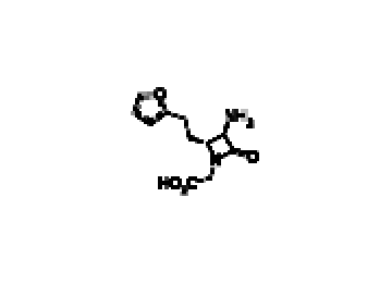 N[C@H]1C(=O)N(CC(=O)O)[C@H]1CCc1ccco1